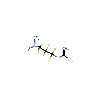 C=C(OC(F)(F)C(F)(F)C(F)(F)N(C(F)(F)F)C(F)(F)F)C(F)(F)F